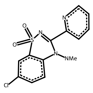 CNN1C(c2ccccn2)=NS(=O)(=O)c2cc(Cl)ccc21